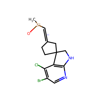 C[S+]([O-])/C=C1\CCC2(CNc3ncc(Br)c(Cl)c32)C1